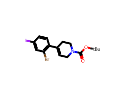 CC(C)(C)OC(=O)N1CC=C(c2ccc(I)cc2Br)CC1